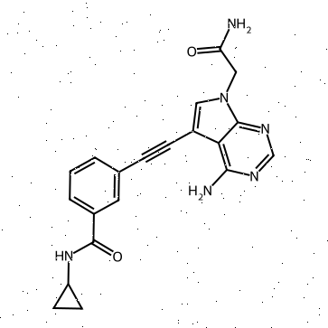 NC(=O)Cn1cc(C#Cc2cccc(C(=O)NC3CC3)c2)c2c(N)ncnc21